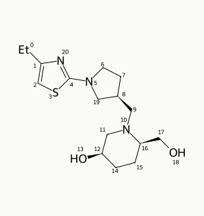 CCc1csc(N2CC[C@@H](CN3C[C@H](O)CC[C@@H]3CO)C2)n1